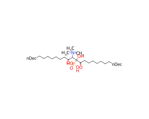 CCCCCCCCCCCCCCCCCC(=O)C(C(O)(C(=O)CCCCCCCCCCCCCCCCC)P(=O)(O)O)[N+](C)(C)C